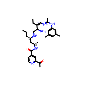 CCC[C@H](C[C@@H](C)NC(=O)c1ccnc(C(C)=O)c1)NCC(N)/C(=C\N=C(/C)Nc1cc(C)cc(C)c1)CC